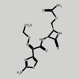 NC(=O)OC[C@H]1NC(=O)[C@H]1NC(=O)/C(=N\OCC(=O)O)c1csc(N)n1